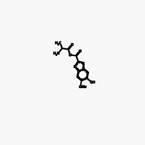 COc1cc2sc(C(=O)OC(=O)C(C)N)cc2cc1O